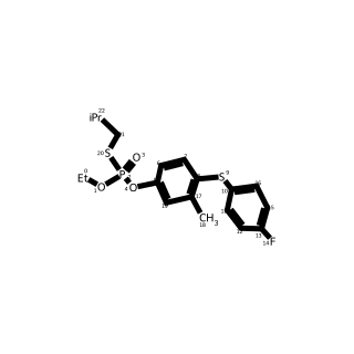 CCOP(=O)(Oc1ccc(Sc2ccc(F)cc2)c(C)c1)SCC(C)C